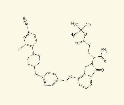 CC(C)(C)OC(=O)CC[C@H](C(N)=O)N1Cc2c(OCc3ccc(SC4CCN(c5ccc(C#N)cc5F)CC4)cc3)cccc2C1=O